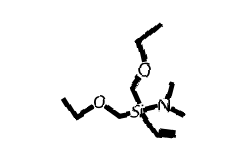 C=C[Si](COCC)(COCC)N(C)C